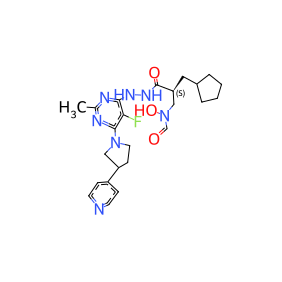 Cc1nc(NNC(=O)[C@@H](CC2CCCC2)CN(O)C=O)c(F)c(N2CCC(c3ccncc3)C2)n1